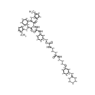 Cn1ccnc1CN1C(=O)C(NC(=O)Nc2cccc(COC(=O)NCCCC(=O)NCCCOc3cccc(CN4CCCCC4)c3)c2)C(=O)N(Cc2nccn2C)c2ccccc21